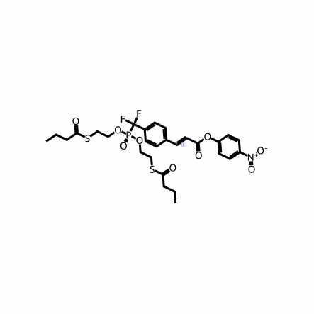 CCCC(=O)SCCOP(=O)(OCCSC(=O)CCC)C(F)(F)c1ccc(/C=C/C(=O)Oc2ccc([N+](=O)[O-])cc2)cc1